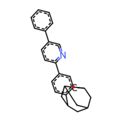 c1ccc(-c2ccc(-c3ccc4c(c3)C3CC5CC(CC4C5)C3)nc2)cc1